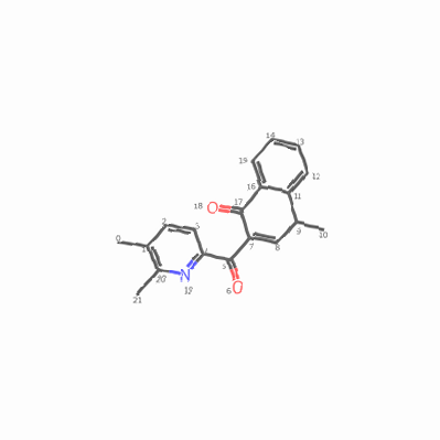 Cc1ccc(C(=O)C2=CC(C)c3ccccc3C2=O)nc1C